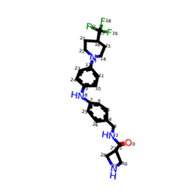 O=C(NCc1ccc(Nc2ccc(N3CCC(C(F)(F)F)CC3)cc2)cc1)C1CNC1